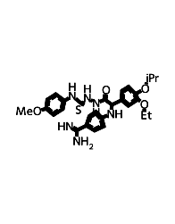 CCOc1cc(C(Nc2ccc(C(=N)N)cc2)C(=O)NNC(=S)Nc2ccc(OC)cc2)ccc1OC(C)C